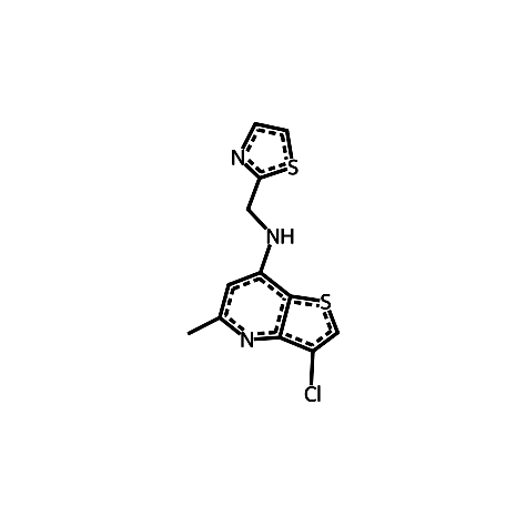 Cc1cc(NCc2nccs2)c2scc(Cl)c2n1